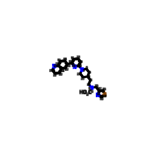 O=C(O)N(CCC1CCN(c2cccc(-c3ccc4ncccc4c3)n2)CC1)Cc1cscn1